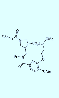 CCOC(=O)C1CN(C(=O)OC(C)(C)C)CC1CN(C(=O)c1ccc(OC)c(OCCCOC)c1)C(C)C